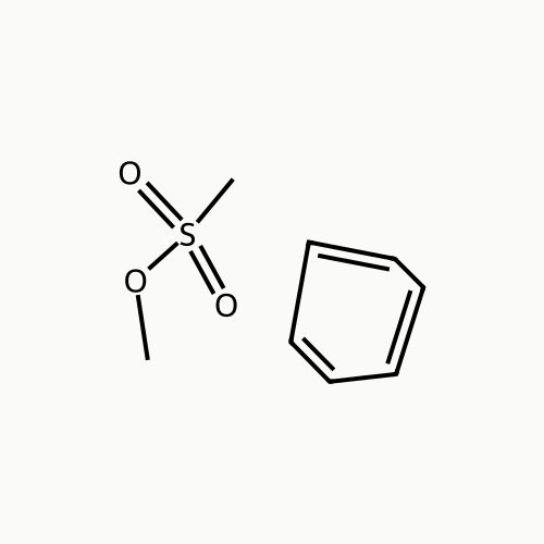 COS(C)(=O)=O.c1ccccc1